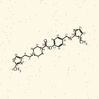 Cc1nc(CCN2CCN(C(=O)Oc3ccc(CSc4nccn4C)cc3)CC2)cs1